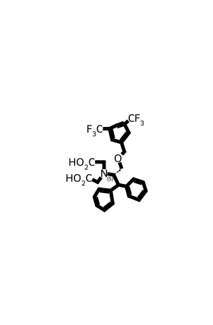 O=C(O)CN(CC(=O)O)[C@H](COCc1cc(C(F)(F)F)cc(C(F)(F)F)c1)C(c1ccccc1)c1ccccc1